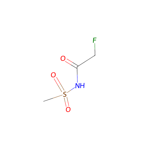 CS(=O)(=O)NC(=O)CF